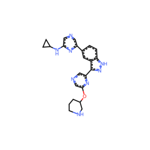 c1cc2[nH]nc(-c3cncc(OC4CCCNC4)n3)c2cc1-c1cncc(NC2CC2)n1